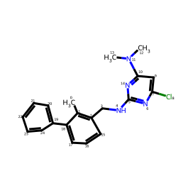 Cc1c(CNc2nc(Cl)cc(N(C)C)n2)cccc1-c1ccccc1